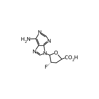 Nc1ncnc2c1ncn2C1OC(C(=O)O)C[C@@H]1F